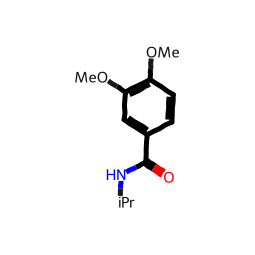 COc1ccc(C(=O)NC(C)C)cc1OC